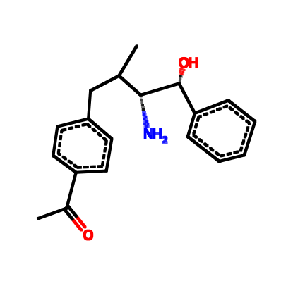 CC(=O)c1ccc(CC(C)[C@@H](N)[C@H](O)c2ccccc2)cc1